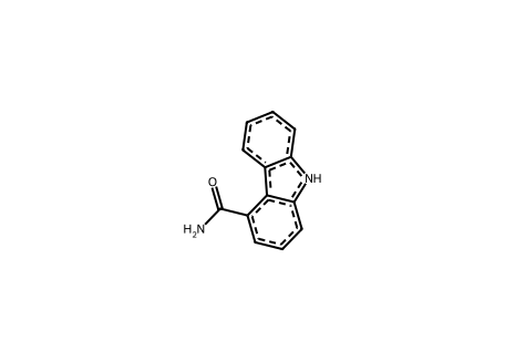 NC(=O)c1cccc2[nH]c3ccccc3c12